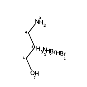 Br.Br.N.NCCCO